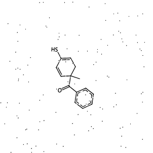 CC1(C(=O)c2ccccc2)C=CC(S)=CC1